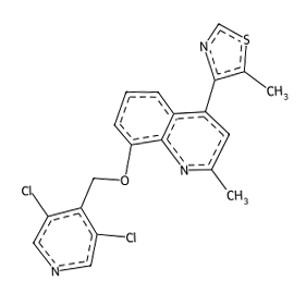 Cc1cc(-c2ncsc2C)c2cccc(OCc3c(Cl)cncc3Cl)c2n1